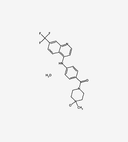 C[N+]1([O-])CCN(C(=O)c2ccc(Nc3ccnc4cc(C(F)(F)F)ccc34)cc2)CC1.O